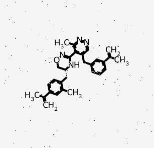 C=C(C)c1cccc(Cc2cnnc(C)c2C2=NOC[C@@H](Cc3ccc(C(=C)C)cc3C)N2)c1